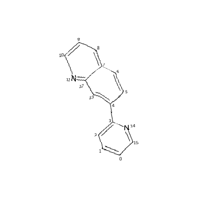 c1ccc(-c2ccc3cccnc3c2)nc1